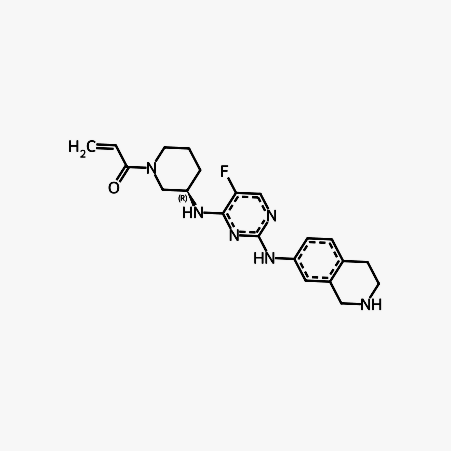 C=CC(=O)N1CCC[C@@H](Nc2nc(Nc3ccc4c(c3)CNCC4)ncc2F)C1